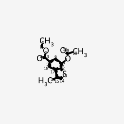 CCOC(=O)c1cc(OC(C)=O)c2scc(C)c2c1